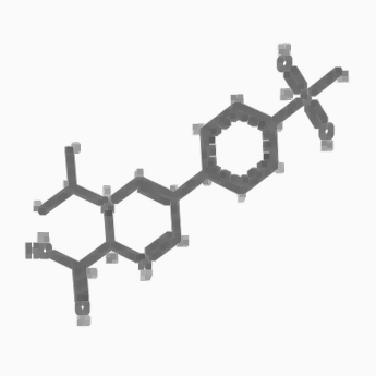 CC(C)N1C=C(c2ccc(S(C)(=O)=O)cc2)C=NC1C(=O)O